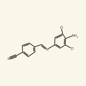 N#Cc1ccc(C=Nc2cc(Cl)c(N)c(Cl)c2)cc1